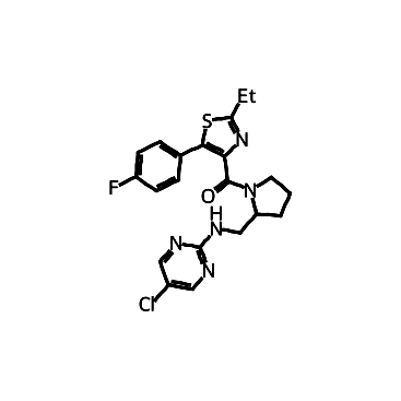 CCc1nc(C(=O)N2CCCC2CNc2ncc(Cl)cn2)c(-c2ccc(F)cc2)s1